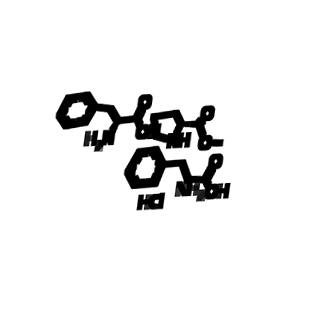 COC(=O)[C@@H]1CCCN1.Cl.N[C@@H](Cc1ccccc1)C(=O)O.N[C@@H](Cc1ccccc1)C(=O)O